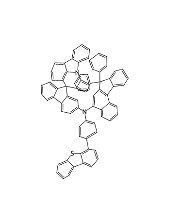 c1ccc(C2(c3ccccc3)c3ccccc3-c3c2cc(N(c2ccc(-c4cccc5c4sc4ccccc45)cc2)c2ccc4c(c2)C2(c5ccccc5-4)c4ccccc4-n4c5ccccc5c5cccc2c54)c2ccccc32)cc1